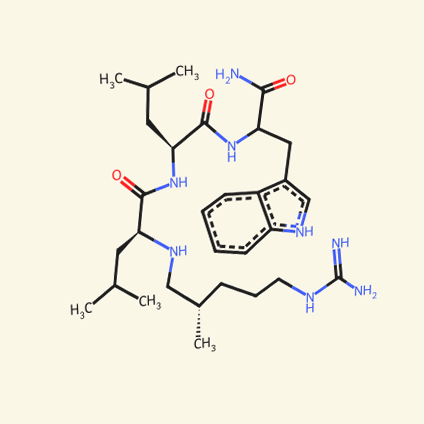 CC(C)C[C@H](NC[C@@H](C)CCCNC(=N)N)C(=O)N[C@@H](CC(C)C)C(=O)NC(Cc1c[nH]c2ccccc12)C(N)=O